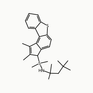 CC1=C(C)C(S(C)(C)NC(C)(C)CC(C)(C)C)c2ccc3sc4ccccc4c3c21